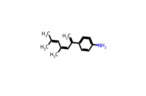 C=C(/C=C(/C)C=C(C)C)C1=C=C=C(N)C=C1